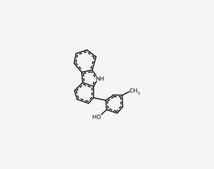 Cc1ccc(O)c(-c2cccc3c2[nH]c2ccccc23)c1